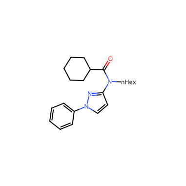 CCCCCCN(C(=O)C1CCCCC1)c1ccn(-c2ccccc2)n1